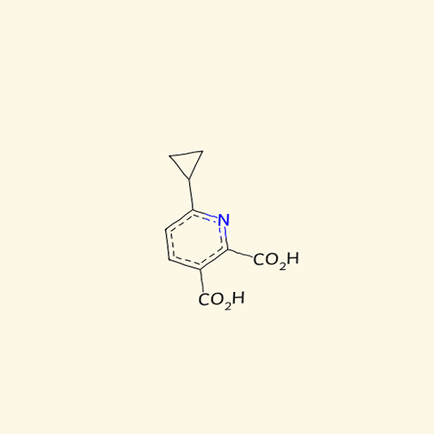 O=C(O)c1ccc(C2CC2)nc1C(=O)O